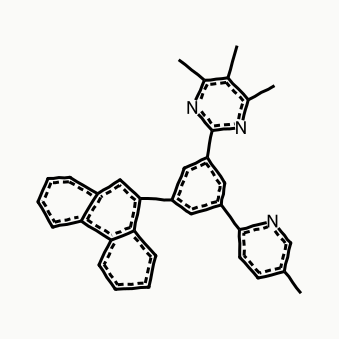 Cc1ccc(-c2cc(-c3nc(C)c(C)c(C)n3)cc(-c3cc4ccccc4c4ccccc34)c2)nc1